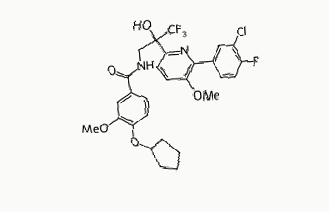 COc1cc(C(=O)NCC(O)(c2ccc(OC)c(-c3ccc(F)c(Cl)c3)n2)C(F)(F)F)ccc1OC1CCCC1